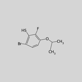 CC(C)Oc1ccc(Br)c(S)c1F